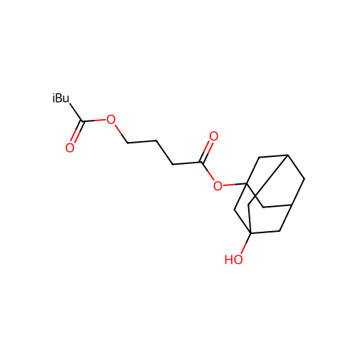 CCC(C)C(=O)OCCCC(=O)OC12CC3CC(CC(O)(C3)C1)C2